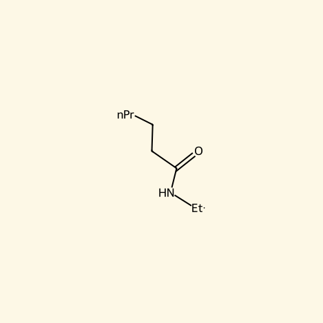 C[CH]NC(=O)CCCCC